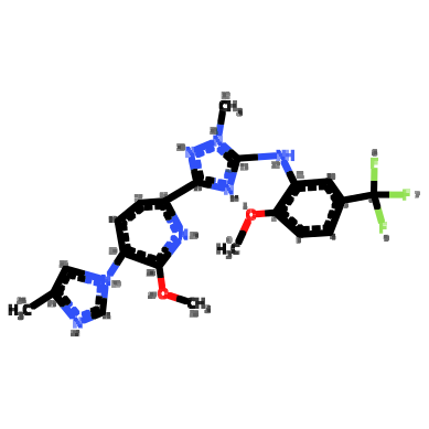 COc1ccc(C(F)(F)F)cc1Nc1nc(-c2ccc(-n3cnc(C)c3)c(OC)n2)nn1C